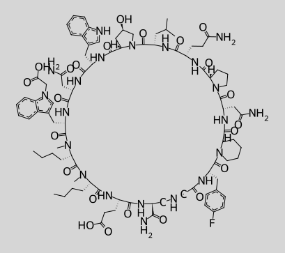 CCCC[C@H]1C(=O)N(C)[C@@H](CCCC)C(=O)N[C@@H](CCC(=O)O)C(=O)N[C@H](C(N)=O)CNCC(=O)N[C@@H](Cc2ccc(F)cc2)C(=O)N2CCCC[C@H]2C(=O)N[C@@H](CC(N)=O)C(=O)N2CCC[C@H]2C(=O)N[C@@H](CCC(N)=O)C(=O)N[C@@H](CC(C)C)C(=O)N2C[C@H](O)C[C@H]2C(=O)N[C@@H](Cc2c[nH]c3ccccc23)C(=O)N[C@@H](CC(N)=O)C(=O)N[C@@H](Cc2cn(CC(=O)O)c3ccccc23)C(=O)N1C